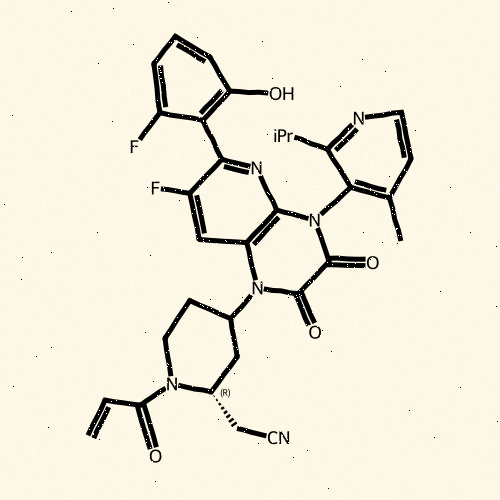 C=CC(=O)N1CCC(n2c(=O)c(=O)n(-c3c(C)ccnc3C(C)C)c3nc(-c4c(O)cccc4F)c(F)cc32)C[C@@H]1CC#N